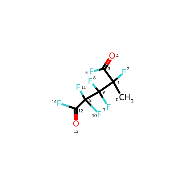 CC(F)(C(=O)F)C(F)(F)C(F)(F)C(=O)F